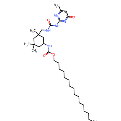 CCCCCCCCCCCCCCCCOC(=O)NC1CC(C)(C)CC(C)(CNC(=O)Nc2nc(=O)cc(C)[nH]2)C1